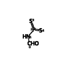 O=CNP(=S)=S